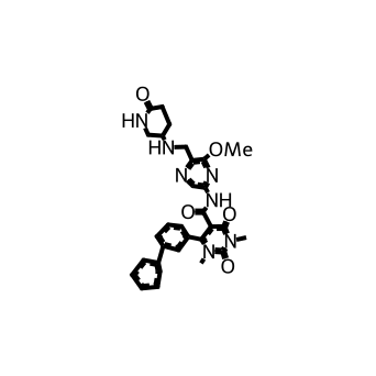 COc1nc(NC(=O)c2c(-c3cccc(-c4ccccc4)c3)n(C)c(=O)n(C)c2=O)cnc1CNC1CCC(=O)NC1